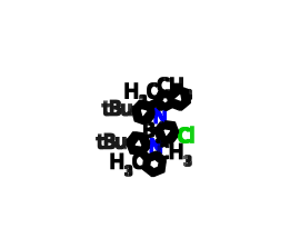 CC(C)(C)c1cc2c3c(c1)C1(C)CCCCC1(C)N3c1cc(Cl)cc3c1B2c1cc(C(C)(C)C)cc2c4c(n-3c12)-c1ccccc1C4(C)C